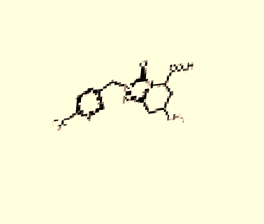 CC1Cc2nn(Cc3ccc(C(F)(F)F)nc3)c(=O)n2C(C(=O)O)C1